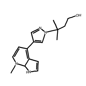 CN1C=CC(c2cnn(C(C)(C)CCO)c2)=C2C=CNC21